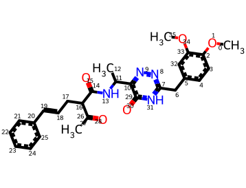 COc1ccc(Cc2nnc(C(C)NC(=O)C(CC=Cc3ccccc3)C(C)=O)c(=O)[nH]2)cc1OC